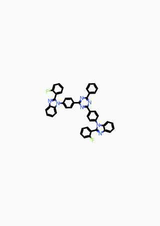 Fc1ccccc1-c1nc2ccccc2n1-c1ccc(-c2nc(-c3ccccc3)nc(-c3ccc(-n4c(-c5ccccc5F)nc5ccccc54)cc3)n2)cc1